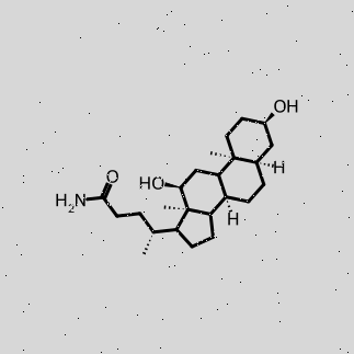 C[C@H](CCC(N)=O)C1CCC2[C@@H]3CC[C@@H]4C[C@H](O)CC[C@]4(C)C3C[C@H](O)[C@@]21C